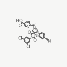 C[C@@H](c1ccc(C(=O)O)cn1)N1C[C@@H](c2ccc(C#N)cc2)C2(C1)NC(=O)N(c1cc(Cl)cc(Cl)c1)C2=O